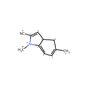 CC1=CC=C2C(C=C(C#N)N2C)C1